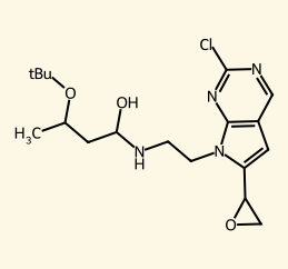 CC(CC(O)NCCn1c(C2CO2)cc2cnc(Cl)nc21)OC(C)(C)C